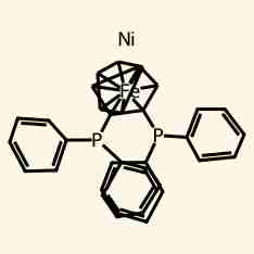 [Ni].c1ccc(P(c2ccccc2)[C]23[CH]4[CH]5[CH]6[C]2(P(c2ccccc2)c2ccccc2)[Fe]54632789[CH]3[CH]2[CH]7[CH]8[CH]39)cc1